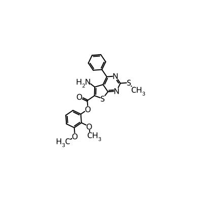 COc1cccc(OC(=O)c2sc3nc(SC)nc(-c4ccccc4)c3c2N)c1OC